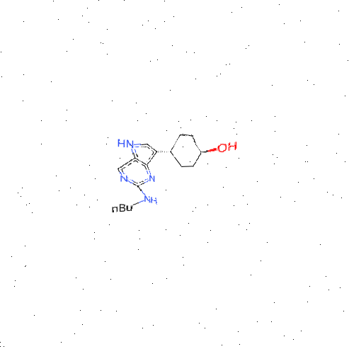 CCCCNc1ncc2[nH]cc([C@H]3CC[C@H](O)CC3)c2n1